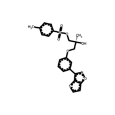 Cc1ccc(S(=O)(=O)OC[C@@](C)(O)COc2cccc(-c3noc4ccsc34)c2)cc1